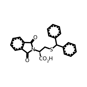 O=C(O)[C@H](CSC(c1ccccc1)c1ccccc1)N1C(=O)c2ccccc2C1=O